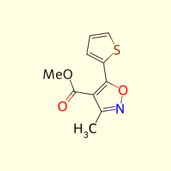 COC(=O)c1c(C)noc1-c1cccs1